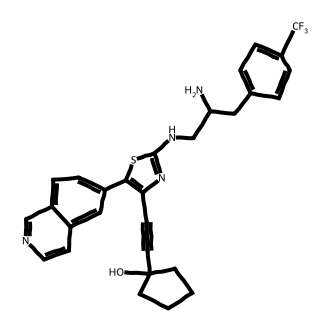 NC(CNc1nc(C#CC2(O)CCCC2)c(-c2ccc3cnccc3c2)s1)Cc1ccc(C(F)(F)F)cc1